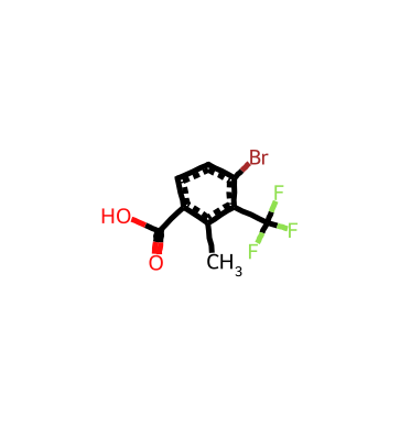 Cc1c(C(=O)O)ccc(Br)c1C(F)(F)F